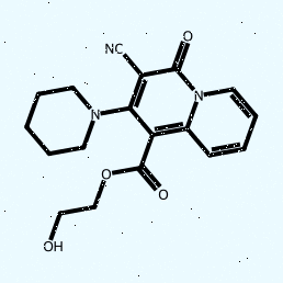 N#Cc1c(N2CCCCC2)c(C(=O)OCCO)c2ccccn2c1=O